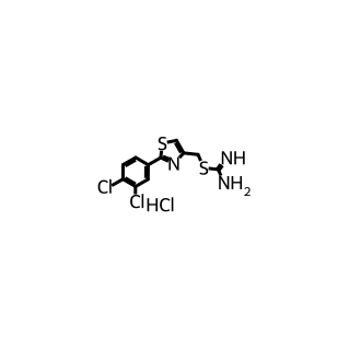 Cl.N=C(N)SCc1csc(-c2ccc(Cl)c(Cl)c2)n1